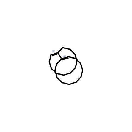 C1=C(\C2=C\CCCCCCCCCC2)CCCCCCCCCC/1